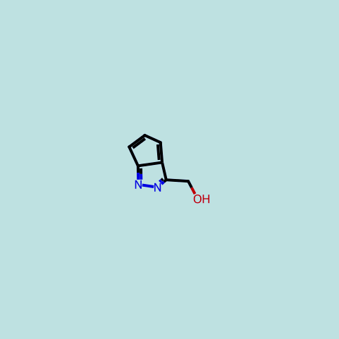 OCC1=NN=C2C=CC=C21